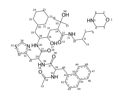 C1COCCN1.CCC(C)CNC(=O)C(CC(O)C(CC1CCCCC1)NC(=O)C(Cc1cscn1)NC(=O)C(Cc1cccc2ccccc12)NC(C)=O)C(C)(C)O